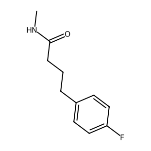 CNC(=O)CCCc1ccc(F)cc1